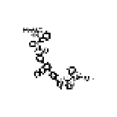 COC(=O)N[C@H](C(=O)N1CCC[C@H]1c1ncc(-c2ccc(-c3ccc(-c4ccc5nc([C@@H]6CCCN6C(=O)[C@@H](NC(=O)OC)c6ccccc6)[nH]c(=O)c5c4)c4c3CC3(CCCC3)C4)cc2)[nH]1)c1ccccc1